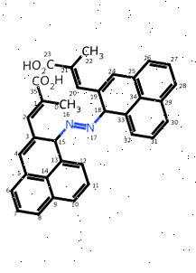 CC(=CC1=Cc2cccc3cccc(c23)C1N=NC1C(C=C(C)C(=O)O)=Cc2cccc3cccc1c23)C(=O)O